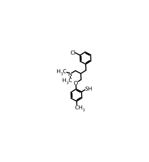 Cc1ccc(OCC(Cc2cccc(Cl)c2)CN(C)C)c(S)c1